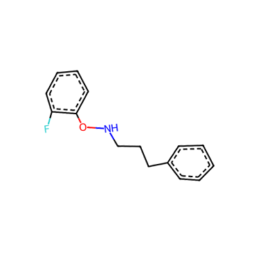 Fc1ccccc1ONCCCc1ccccc1